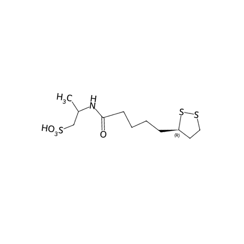 CC(CS(=O)(=O)O)NC(=O)CCCC[C@@H]1CCSS1